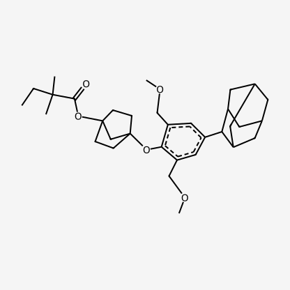 CCC(C)(C)C(=O)OC12CCC(Oc3c(COC)cc(C4C5CC6CC(C5)CC4C6)cc3COC)(CC1)C2